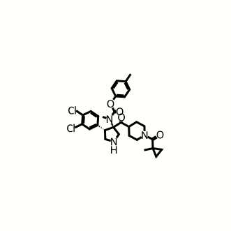 Cc1ccc(OC(=O)N(C)[C@@]2(C(=O)C3CCN(C(=O)C4(C)CC4)CC3)CNC[C@@H]2c2ccc(Cl)c(Cl)c2)cc1